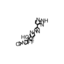 O[C@](c1ccc(-n2cc(-c3ccnc4[nH]cnc34)cn2)nc1)(C1CCN(C2COC2)C1)C(F)(F)F